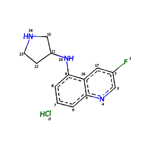 Cl.Fc1cnc2cccc(NC3CCNC3)c2c1